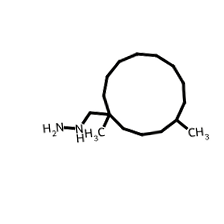 CC1CCCCCCCCC(C)(CNN)CCC1